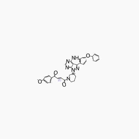 COc1ccc(C(=O)/C=C/C(=O)N2CCC[C@@H](n3nc(-c4ccc(Oc5ccccc5)cc4)c4c(N)ncnc43)C2)cc1